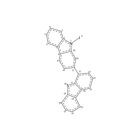 In1c2ccccc2c2ccc(-c3cccc4c3sc3ccccc34)cc21